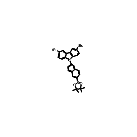 CC(C)(C)c1ccc2c(c1)c1cc(C(C)(C)C)ccc1n2-c1ccc2cc(B3OC(C)(C)C(C)(C)O3)ccc2c1